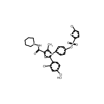 Cc1c(C(=O)NN2CCCCC2)nc(-c2ccc(Cl)cc2Cl)n1-c1ccc(OS(=O)(=O)c2ccc(Cl)s2)cc1.Cl